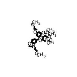 COCCCOc1ccc([C@@H]2[C@@H](OCc3ccc4c(c3)N(CCCOC)CCO4)CN(C(=O)O)C(OC)[C@H]2C(=O)OC)cc1